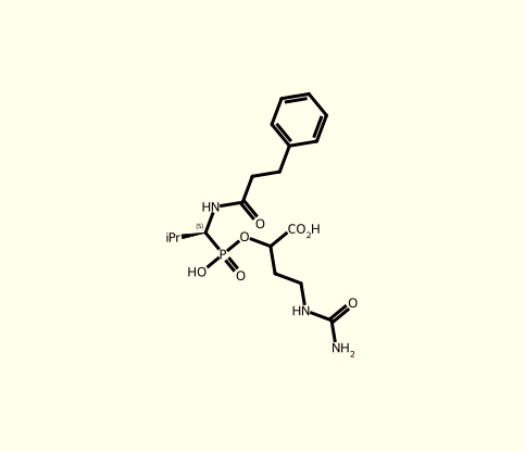 CC(C)[C@@H](NC(=O)CCc1ccccc1)P(=O)(O)OC(CCNC(N)=O)C(=O)O